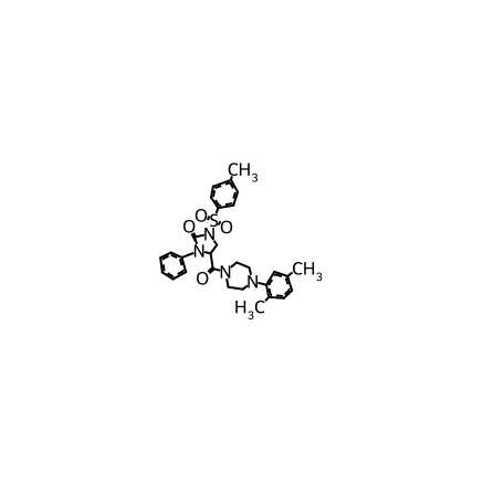 Cc1ccc(S(=O)(=O)N2CC(C(=O)N3CCN(c4cc(C)ccc4C)CC3)N(c3ccccc3)C2=O)cc1